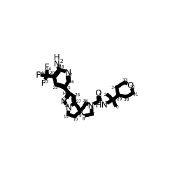 CC(C)(NC(=O)N1CC[C@@]2(CCn3nc(-c4cnc(N)c(C(F)(F)F)c4)cc32)C1)C1CCOCC1